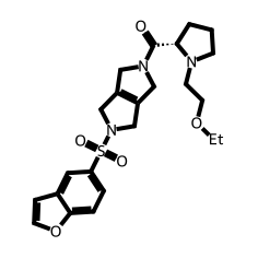 CCOCCN1CCC[C@H]1C(=O)N1CC2=C(C1)CN(S(=O)(=O)c1ccc3occc3c1)C2